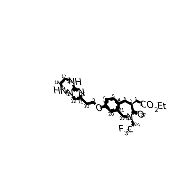 CCOC(=O)C[C@@H]1Cc2ccc(OCCc3cn4c(n3)NCCN4)cc2CN(CC(F)(F)F)C1=O